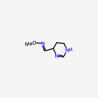 CON=CC1CCNC=N1